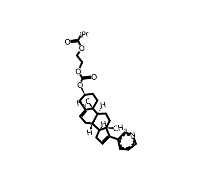 CC(C)C(=O)OCCOC(=O)O[C@H]1CC[C@@]2(C)C(=CC[C@@H]3[C@@H]2CC[C@]2(C)C(c4cccnc4)=CC[C@@H]32)C1